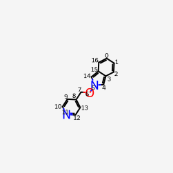 c1ccc2cn(OCc3ccncc3)cc2c1